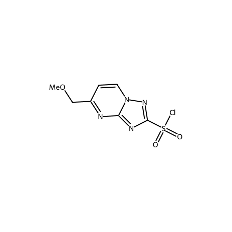 COCc1ccn2nc(S(=O)(=O)Cl)nc2n1